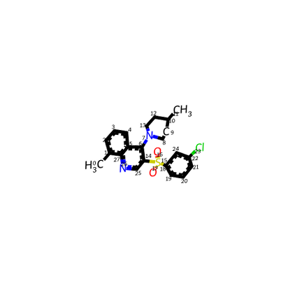 Cc1cccc2c(N3CCC(C)CC3)c(S(=O)(=O)c3cccc(Cl)c3)cnc12